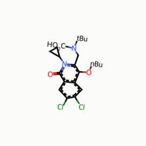 CCCCOc1c(CN(C(=O)O)C(C)(C)C)n(C2CC2)c(=O)c2cc(Cl)c(Cl)cc12